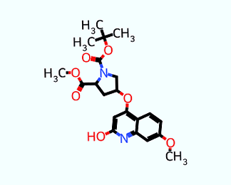 COC(=O)C1CC(Oc2cc(O)nc3cc(OC)ccc23)CN1C(=O)OC(C)(C)C